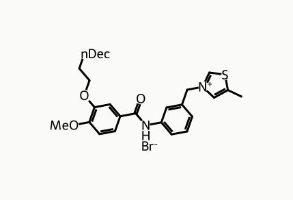 CCCCCCCCCCCCOc1cc(C(=O)Nc2cccc(C[n+]3csc(C)c3)c2)ccc1OC.[Br-]